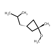 CO[C@]1(C)C[C@H](CC(C)C)C1